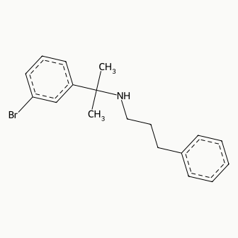 CC(C)(NCCCc1ccccc1)c1cccc(Br)c1